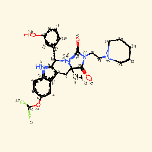 CC12Cc3c([nH]c4ccc(OC(F)F)cc34)C(c3cccc(O)c3)N1C(=O)N(CCN1CCCCC1)C2=O